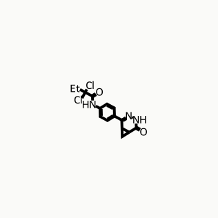 CCC(Cl)(Cl)C(=O)Nc1ccc(C2=NNC(=O)C3CC23)cc1